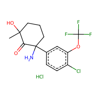 CC1(O)CCCC(N)(c2ccc(Cl)c(OC(F)(F)F)c2)C1=O.Cl